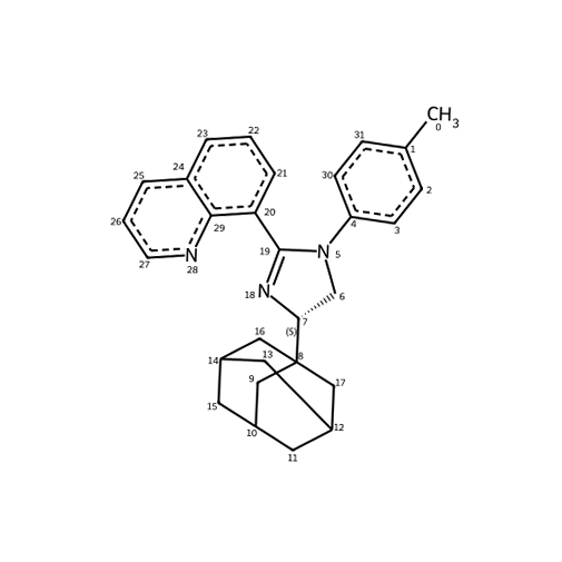 Cc1ccc(N2C[C@H](C34CC5CC(CC(C5)C3)C4)N=C2c2cccc3cccnc23)cc1